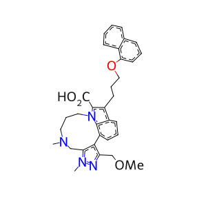 COCc1nn(C)c2c1-c1cccc3c(CCCOc4cccc5ccccc45)c(C(=O)O)n(c13)CCCN(C)C2